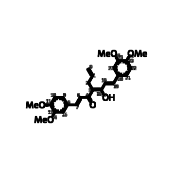 C=CC/C(C(=O)/C=C/c1ccc(OC)c(OC)c1)=C(O)\C=C\c1ccc(OC)c(OC)c1